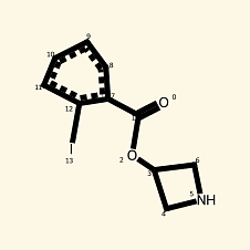 O=C(OC1CNC1)c1ccccc1I